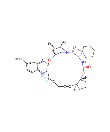 CC[C@@H]1[C@@H]2CN(C(=O)[C@H](C3(C)CCCCC3)NC(=O)O[C@@H]3CCC[C@H]3CCCCC(F)(F)c3nc4ccc(OC)cc4nc3O2)[C@@H]1C(C)=O